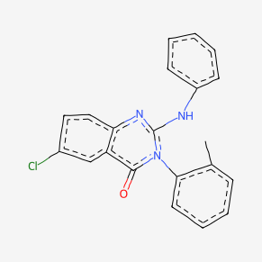 Cc1ccccc1-n1c(Nc2ccccc2)nc2ccc(Cl)cc2c1=O